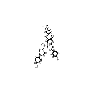 Cn1cc(Cc2cn(CC(=O)N3CCN(c4ccc(Cl)cn4)CC3)c(SCc3ccc(F)cc3)nc2=O)cn1